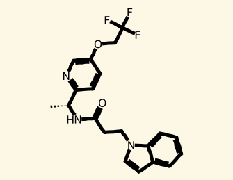 C[C@@H](NC(=O)CCn1ccc2ccccc21)c1ccc(OCC(F)(F)F)cn1